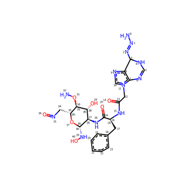 NN=NC1NC=Nc2c1ncn2CC(=O)N[C@@H](Cc1ccccc1)C(=O)N[C@@H]1[C@@H](O)[C@H](ON)[C@@H](CN=O)O[C@H]1NO